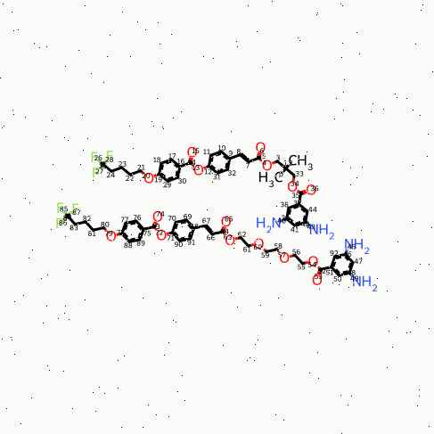 CC(C)(COC(=O)C=Cc1ccc(OC(=O)c2ccc(OCCCCC(F)(F)F)cc2)cc1)COC(=O)c1cc(N)cc(N)c1.Nc1cc(N)cc(C(=O)OCCOCCOCCOC(=O)C=Cc2ccc(OC(=O)c3ccc(OCCCCC(F)(F)F)cc3)cc2)c1